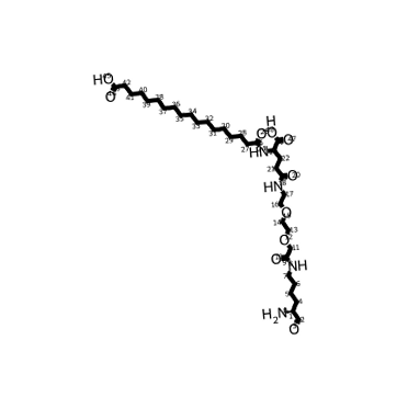 N[C@H]([C]=O)CCCCNC(=O)COCCOCCNC(=O)CCC(NC(=O)CCCCCCCCCCCCCCCCC(=O)O)C(=O)O